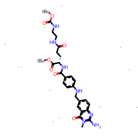 Cn1c(N)nc2ccc(CNc3ccc(C(=O)N[C@@H](CCC(=O)NCCNC(=O)OC(C)(C)C)C(=O)OC(C)(C)C)cc3)cc2c1=O